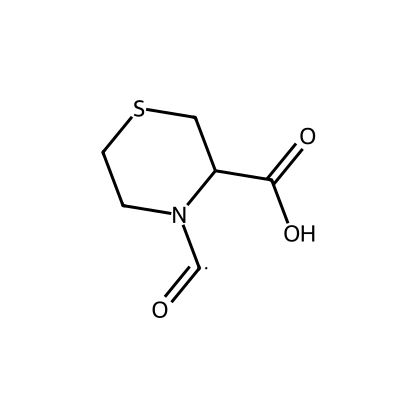 O=[C]N1CCSCC1C(=O)O